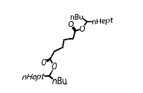 CCCCCCCC(CCCC)OC(=O)CCCCC(=O)OC(CCCC)CCCCCCC